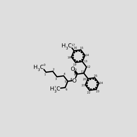 CCCCCC(CC)OC(=O)C(Cc1ccc(C)cc1)c1ccccc1